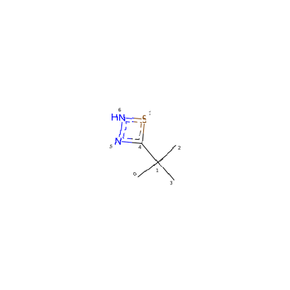 CC(C)(C)c1n[nH]s1